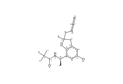 C[C@@H](N[S+]([O-])C(C)(C)C)c1cc(Cl)cc2c1OC(C)(CN=[N+]=[N-])C2